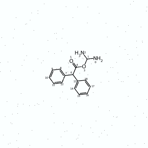 NC(N)OC(=O)C(c1ccccc1)c1ccccc1